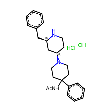 CC(=O)NC1(c2ccccc2)CCN([C@@H]2CCN[C@H](Cc3ccccc3)C2)CC1.Cl.Cl